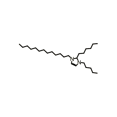 CCCCCCCCCCCCCN1C=CN(CCCCC)C1CCCCCC